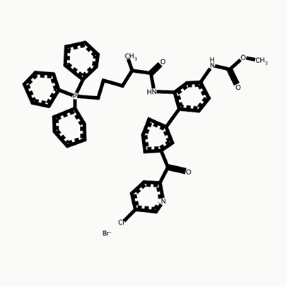 COC(=O)Nc1ccc(-c2cccc(C(=O)c3ccc(Cl)cn3)c2)c(NC(=O)C(C)CCC[P+](c2ccccc2)(c2ccccc2)c2ccccc2)c1.[Br-]